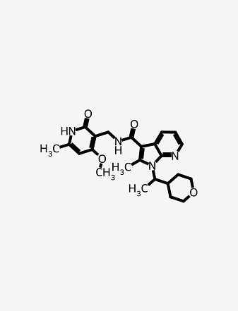 COc1cc(C)[nH]c(=O)c1CNC(=O)c1c(C)n(C(C)C2CCOCC2)c2ncccc12